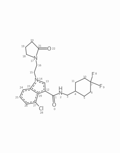 O=C(NCC1CCC(F)(F)CC1)c1cn(CCN2CCCC2=O)c2cccc(Cl)c12